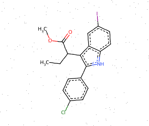 CCC(C(=O)OC)c1c(-c2ccc(Cl)cc2)[nH]c2ccc(I)cc12